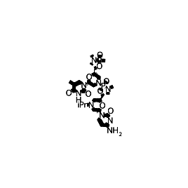 Cc1cn([C@H]2CN(P(=O)(OC[C@@H]3CN(C(C)C)C[C@H](n4ccc(N)nc4=O)O3)N(C)C)C[C@@H](COP(C)(=O)N(C)C)O2)c(=O)[nH]c1=O